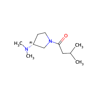 CC(C)CC(=O)N1CC[C@@H](N(C)C)C1